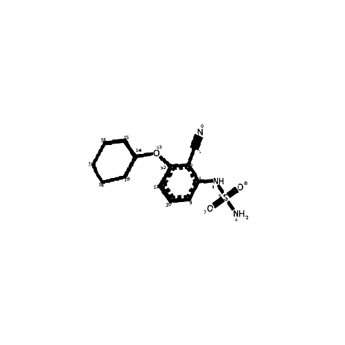 N#Cc1c(NS(N)(=O)=O)cccc1OC1CCCCC1